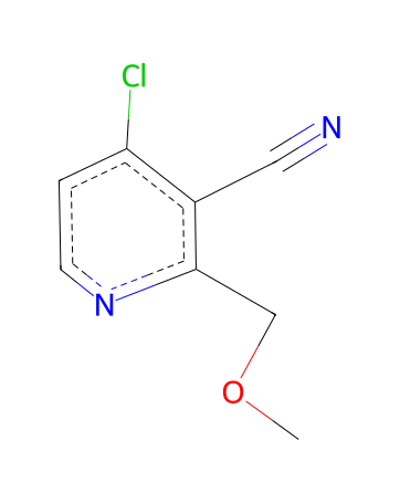 COCc1nccc(Cl)c1C#N